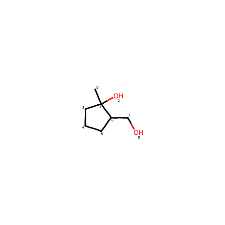 CC1(O)CCCC1CO